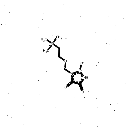 C[Si](C)(C)CCOCn1c(=O)c(=O)[nH][s+]1[O-]